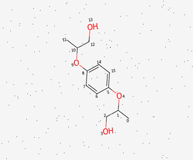 CC(CO)Oc1ccc(OC(C)CO)cc1